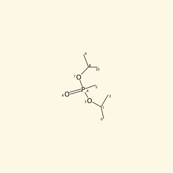 CC(C)OP(C)(=O)OC(C)C